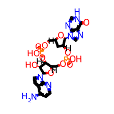 Nc1ccnc2c1ccn2[C@@H]1O[C@@H]2COP(=O)(O)O[C@@H]3C[C@@H](COP(=O)(O)O[C@H]2[C@H]1O)O[C@H]3n1cnc2c(=O)[nH]cnc21